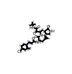 CC(C)(C)NC(=O)C(=O)C(C[C@@H]1CCNC1=O)NC(=O)C(CC1CC1)NC(=O)/C=C/c1ccc(Cl)cc1F